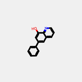 Oc1cc(-c2ccccc2)cc2cccnc12